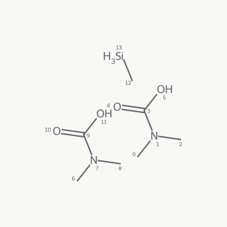 CN(C)C(=O)O.CN(C)C(=O)O.C[SiH3]